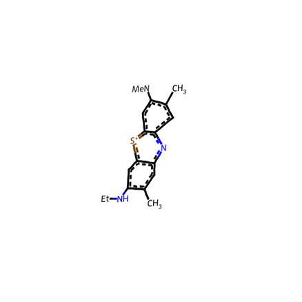 CCNc1cc2[s+]c3cc(NC)c(C)cc3nc2cc1C